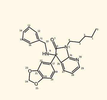 CCCCCN1C(=O)C(NCc2ccccc2)(c2ccc3c(c2)OCO3)c2cccnc21